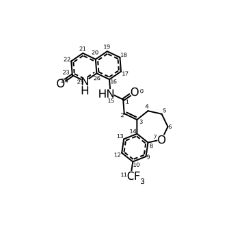 O=C(/C=C1\CCCOc2cc(C(F)(F)F)ccc21)Nc1cccc2ccc(=O)[nH]c12